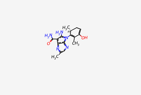 CC1=C(n2c(N)c(C(N)=O)c3nc(C)cnc32)[C@H](C)CC=C1O